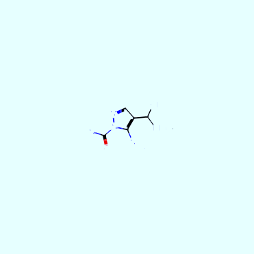 CCCCCCC(C)c1cnn(C(N)=O)c1N